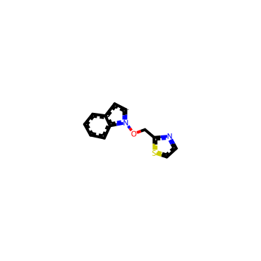 [c]1cc2ccccc2n1OCc1nccs1